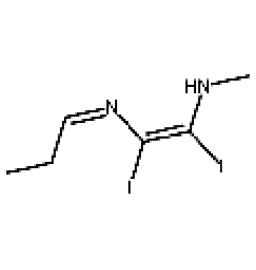 CC/C=N\C(I)=C(\I)NC